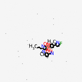 CCCCc1nc(O)c(S(=O)(=O)c2ccc(-c3ccc(F)nc3C)cc2)c(O)c1N(CC)c1cccc(C#N)c1